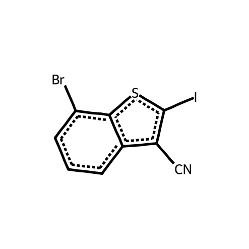 N#Cc1c(I)sc2c(Br)cccc12